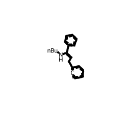 CCCCNC(=CCc1ccccc1)c1ccccc1